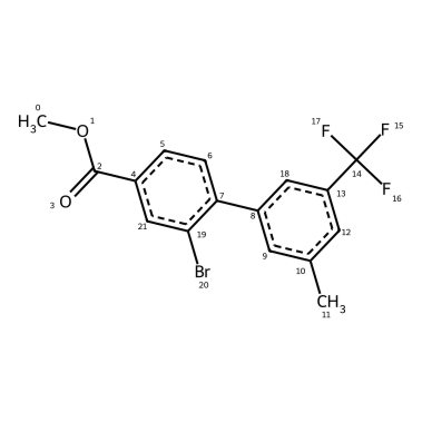 COC(=O)c1ccc(-c2cc(C)cc(C(F)(F)F)c2)c(Br)c1